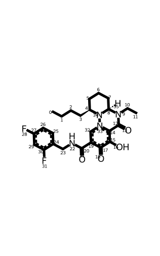 CCCC[C@H]1CCC[C@H]2N(CC)C(=O)c3c(O)c(=O)c(C(=O)NCc4ccc(F)cc4F)cn3N12